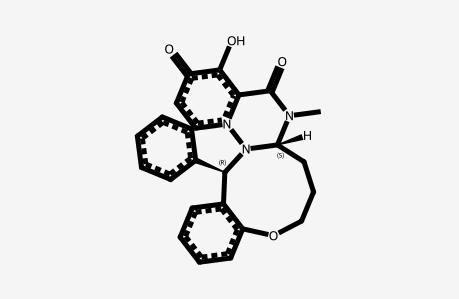 CN1C(=O)c2c(O)c(=O)ccn2N2[C@H](c3ccccc3)c3ccccc3OCCC[C@@H]12